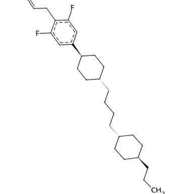 CCC[C@H]1CC[C@H](CCCC[C@H]2CC[C@H](c3cc(F)c(CC=O)c(F)c3)CC2)CC1